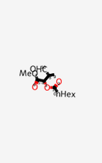 CCCCCCC(=O)OC(C(=O)OC)C(C)C=O